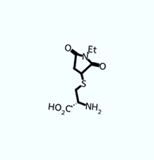 CCN1C(=O)CC(SC[C@H](N)C(=O)O)C1=O